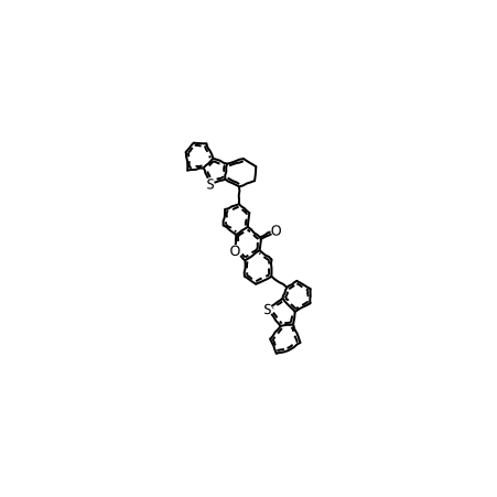 O=c1c2cc(C3=c4sc5ccccc5c4=CCC3)ccc2oc2ccc(-c3cccc4c3sc3ccccc34)cc12